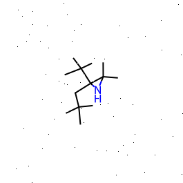 CC(C)(C)CC1(C(C)(C)C)NC1(C)C